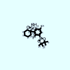 CC1(C)OB(c2cc(F)cc(C3(S(N)(=O)=O)CCCCC3)c2F)OC1(C)C